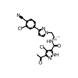 CC(=O)c1n[nH]c(C(=O)N[C@@H](C)Cn2ccc(-c3ccc(C#N)c(Cl)c3)n2)c1Cl